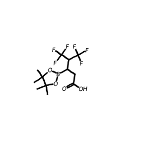 CC1(C)OB(C(CC(=O)O)C(C(F)(F)F)C(F)(F)F)OC1(C)C